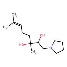 CC(C)=CCCC(C)(O)C(O)CN1CCCC1